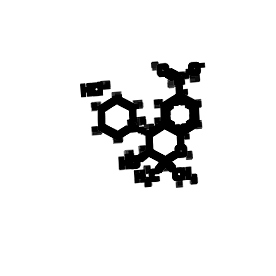 CC1(C)Oc2ccc([N+](=O)[O-])cc2[C@@H](N2CCCCC2)[C@@H]1O.Cl